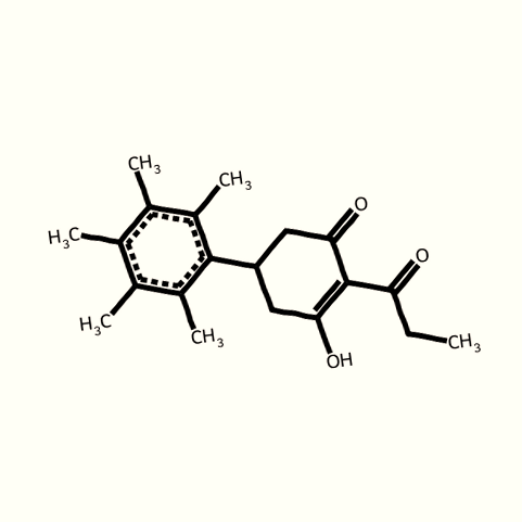 CCC(=O)C1=C(O)CC(c2c(C)c(C)c(C)c(C)c2C)CC1=O